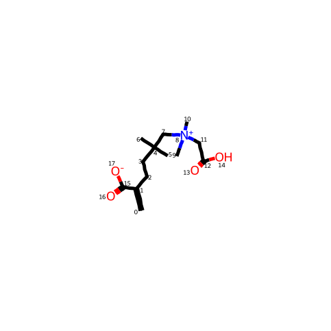 C=C(CCC(C)(C)C[N+](C)(C)CC(=O)O)C(=O)[O-]